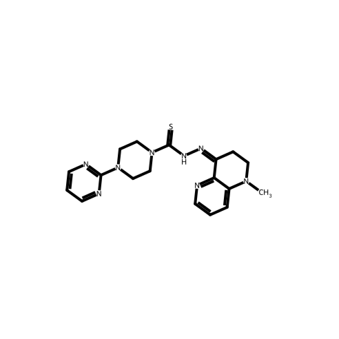 CN1CC/C(=N/NC(=S)N2CCN(c3ncccn3)CC2)c2ncccc21